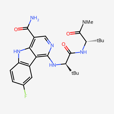 CNC(=O)[C@@H](NC(=O)[C@H](Nc1ncc(C(N)=O)c2[nH]c3ccc(F)cc3c12)C(C)(C)C)C(C)(C)C